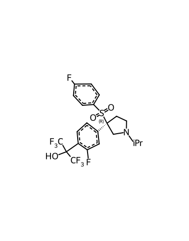 CC(C)N1CC[C@](c2ccc(C(O)(C(F)(F)F)C(F)(F)F)c(F)c2)(S(=O)(=O)c2ccc(F)cc2)C1